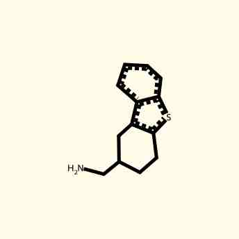 NCC1CCc2sc3ccccc3c2C1